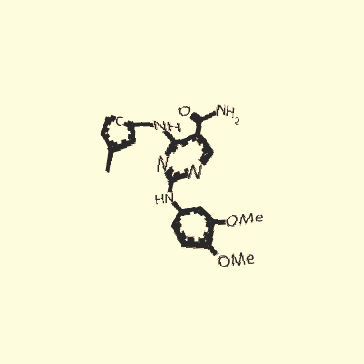 COc1ccc(Nc2ncc(C(N)=O)c(Nc3cccc(C)c3)n2)cc1OC